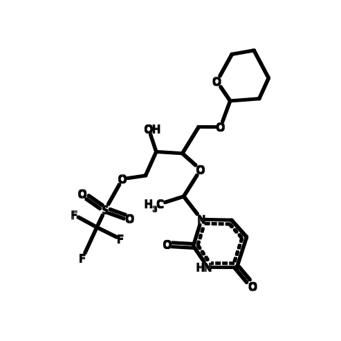 CC(OC(COC1CCCCO1)C(O)COS(=O)(=O)C(F)(F)F)n1ccc(=O)[nH]c1=O